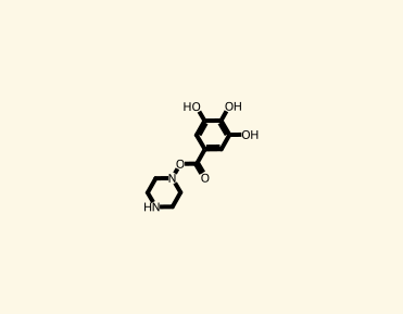 O=C(ON1CCNCC1)c1cc(O)c(O)c(O)c1